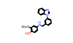 COc1cc(NCc2cccc(-n3cnc4ccccc43)c2)ccc1O